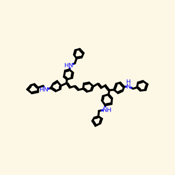 C(=Cc1ccc(C=CC=C(c2ccc(NCc3ccccc3)cc2)c2ccc(NCc3ccccc3)cc2)cc1)C=C(c1ccc(NCc2ccccc2)cc1)c1ccc(NCc2ccccc2)cc1